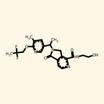 Cc1cc(C(C)N2Cc3c(ccnc3C(=O)NCCO)C2=O)cnc1OCC(C)(F)F